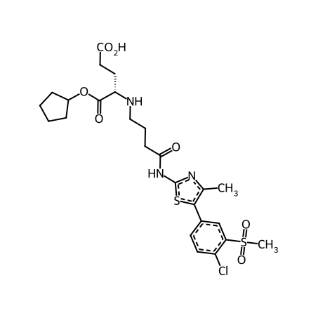 Cc1nc(NC(=O)CCCN[C@@H](CCC(=O)O)C(=O)OC2CCCC2)sc1-c1ccc(Cl)c(S(C)(=O)=O)c1